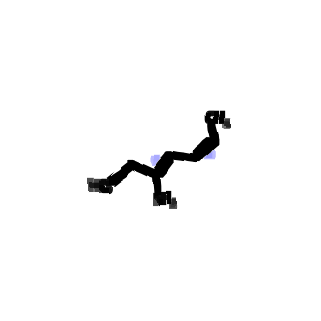 C/C=C\C=C(/N)CO